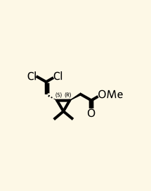 COC(=O)C[C@@H]1[C@@H](C=C(Cl)Cl)C1(C)C